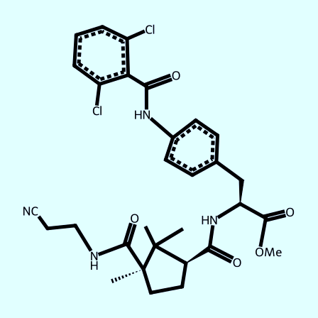 COC(=O)[C@H](Cc1ccc(NC(=O)c2c(Cl)cccc2Cl)cc1)NC(=O)[C@H]1CC[C@@](C)(C(=O)NCCC#N)C1(C)C